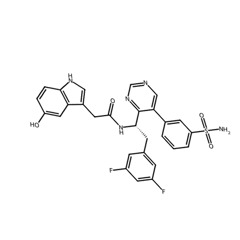 NS(=O)(=O)c1cccc(-c2cncnc2[C@H](Cc2cc(F)cc(F)c2)NC(=O)Cc2c[nH]c3ccc(O)cc23)c1